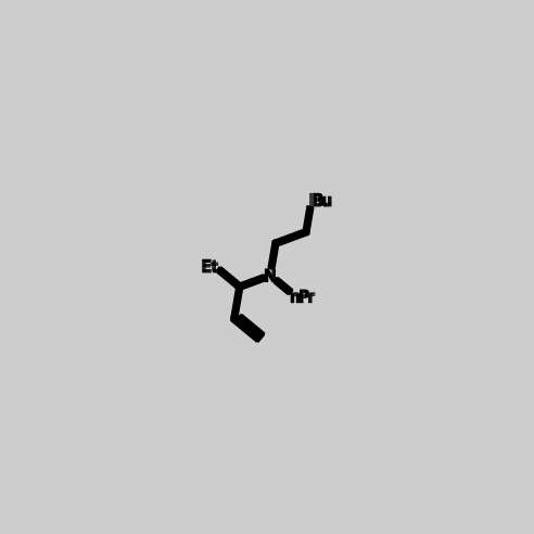 C=CC(CC)N(CCC)CCC(C)CC